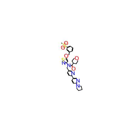 CS(=O)(=O)c1cccc(COc2cc(N(Cc3ccc(-c4ccc(N5CCCC5)nc4)nc3)C(=O)C3CCOCC3)ns2)c1